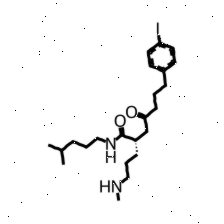 CNCCC[C@@H](CC(=O)CCCc1ccc(I)cc1)C(=O)NCCCC(C)C